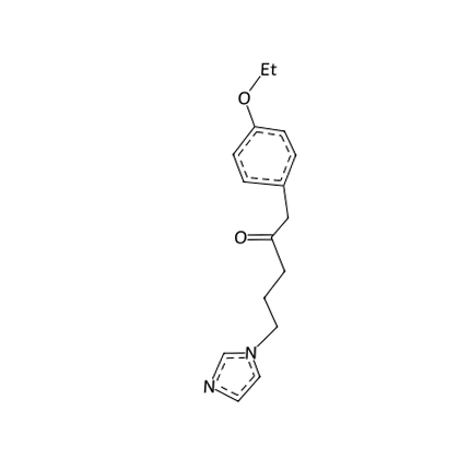 CCOc1ccc(CC(=O)CCCn2ccnc2)cc1